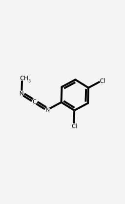 CN=C=Nc1ccc(Cl)cc1Cl